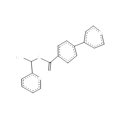 CC(NC(=O)c1ccc(-c2ccncc2)cc1)c1ccccn1